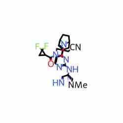 CN/C=C(\C=N)Nc1nccc(C2=CC3CCC(C2)N3C2(CC#N)CN(C(=O)C3CC3(F)F)C2)n1